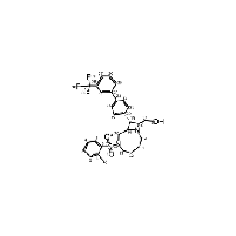 Cc1ccccc1S(=O)(=O)N1CCCCN2C(CO)[C@@H](c3ccc(-c4cccc(C(F)(F)F)c4)cc3)C2C1